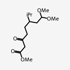 COC(=O)CC(=O)CCC(CC(OC)OC)C(C)C